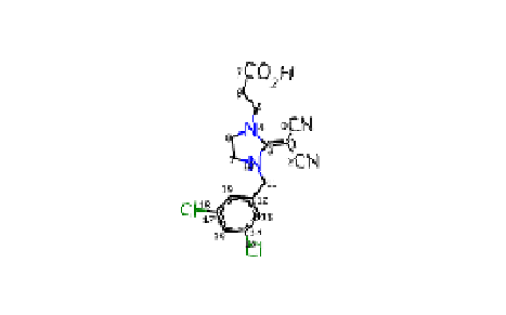 N#CC(C#N)=C1N(CCC(=O)O)CCN1Cc1cc(Cl)cc(Cl)c1